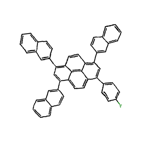 Fc1ccc(-c2cc(-c3ccc4ccccc4c3)c3ccc4c(-c5ccc6ccccc6c5)cc(-c5ccc6ccccc6c5)c5ccc2c3c54)cc1